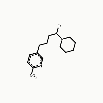 CCC(CCCc1ccc([N+](=O)[O-])nc1)N1CCCCC1